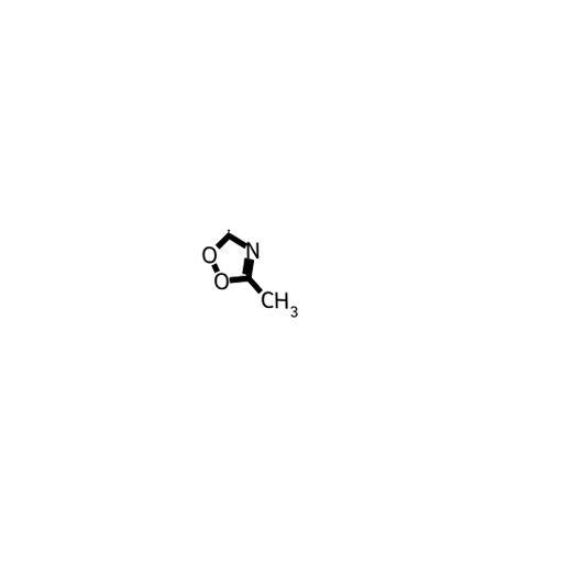 CC1=N[CH]OO1